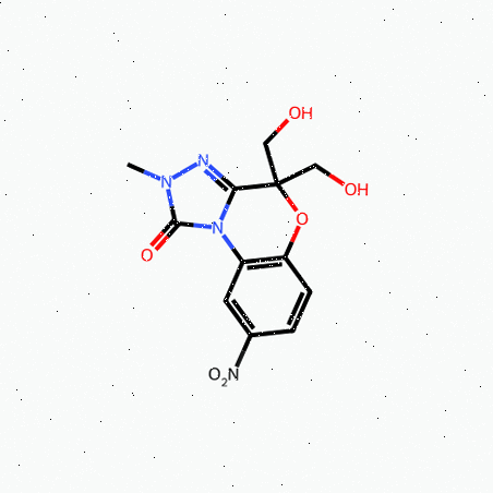 Cn1nc2n(c1=O)-c1cc([N+](=O)[O-])ccc1OC2(CO)CO